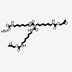 CCCCOC(=O)NCCCCCCNC(=O)N(CCCCCCNC(=O)OCC1CO1)C(=O)NCCCCCCNC(=O)OCC1CO1